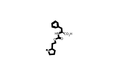 CN1CCCC1CCOC(=O)N[C@@H](Cc1ccccc1)C(=O)O